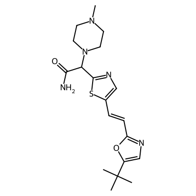 CN1CCN(C(C(N)=O)c2ncc(/C=C/c3ncc(C(C)(C)C)o3)s2)CC1